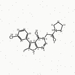 Cc1sc2ncn(CC(=O)N3CCCC3)c(=O)c2c1-c1cccc(Cl)c1